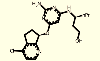 CCC[C@@H](CCO)Nc1cc(O[C@@H]2CCc3c(Cl)ccnc32)nc(N)n1